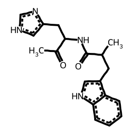 CC(=O)C(Cc1c[nH]cn1)NC(=O)C(C)Cc1c[nH]c2ccccc12